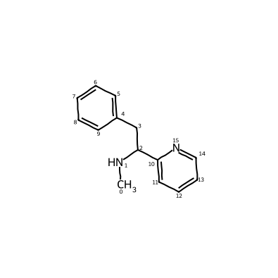 CNC(Cc1ccccc1)c1ccccn1